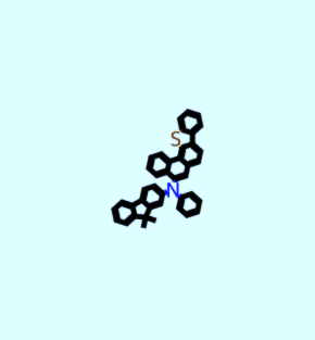 CC1(C)c2ccccc2-c2ccc(N(c3ccccc3)c3cc4ccc5c6ccccc6sc5c4c4ccccc34)cc21